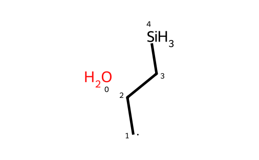 O.[CH2]CC[SiH3]